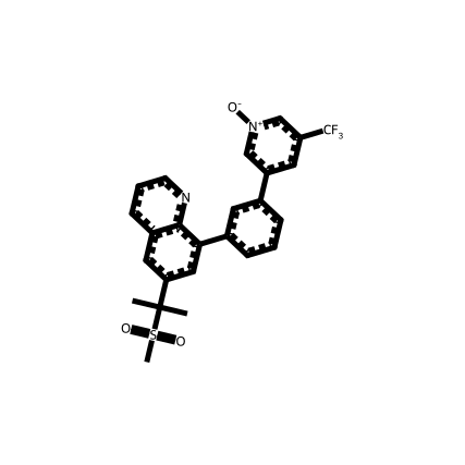 CC(C)(c1cc(-c2cccc(-c3cc(C(F)(F)F)c[n+]([O-])c3)c2)c2ncccc2c1)S(C)(=O)=O